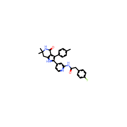 Cc1ccc(-c2c(-c3ccnc(NC(=O)Cc4ccc(F)cc4)c3)[nH]c3c2C(=O)NC(C)(C)C3)cc1